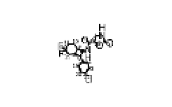 O=C1NC[C@@H](C(=O)N[C@@H]2C3CCC(F)(F)CC3C2c2ccc(Cl)cc2)O1